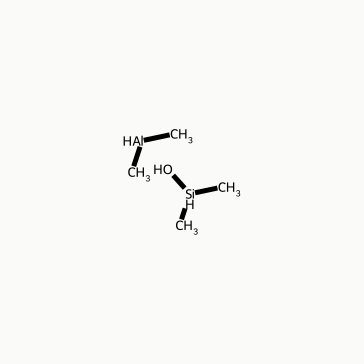 C[SiH](C)O.[CH3][AlH][CH3]